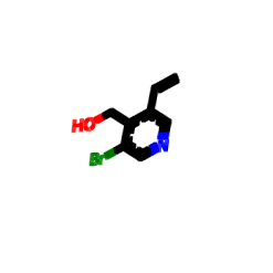 C=Cc1cncc(Br)c1CO